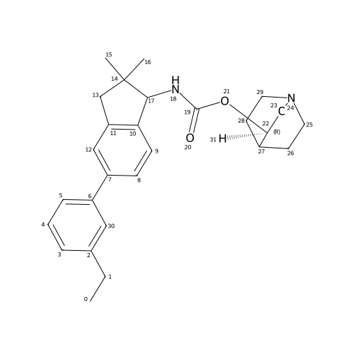 CCc1cccc(-c2ccc3c(c2)CC(C)(C)C3NC(=O)O[C@H]2CN3CCC2CC3)c1